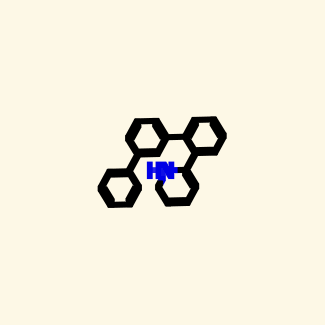 C1=CCNC(c2ccccc2-c2cccc(-c3ccccc3)c2)=C1